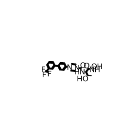 C[C@@H](O)[C@H](NC(=O)N1CCN(c2ccc(-c3cccc(C(F)(F)F)c3)cc2)CC1)C(=O)NO